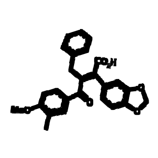 COc1ccc(C(=O)/C(Cc2ccccc2)=C(/C(=O)O)c2ccc3c(c2)OCO3)cc1C